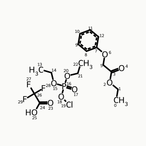 CCOC(=O)COc1ccccc1.CCOP(=O)(OCl)OCC.O=C(O)C(F)(F)F